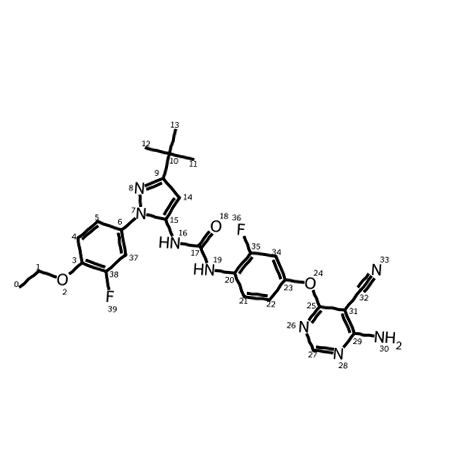 CCOc1ccc(-n2nc(C(C)(C)C)cc2NC(=O)Nc2ccc(Oc3ncnc(N)c3C#N)cc2F)cc1F